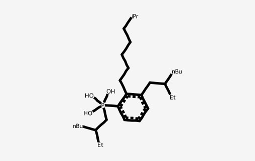 CCCCC(CC)Cc1cccc(P(O)(O)(O)CC(CC)CCCC)c1CCCCCC(C)C